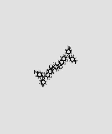 Fc1ccc(N(c2ccc(F)cc2)c2ccc3cc4c(cc3c2)oc2cc3c(cc24)oc2cc4cc(N(c5ccc(F)cc5)c5ccc(F)cc5)ccc4cc23)cc1